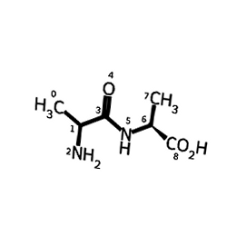 CC(N)C(=O)N[C@@H](C)C(=O)O